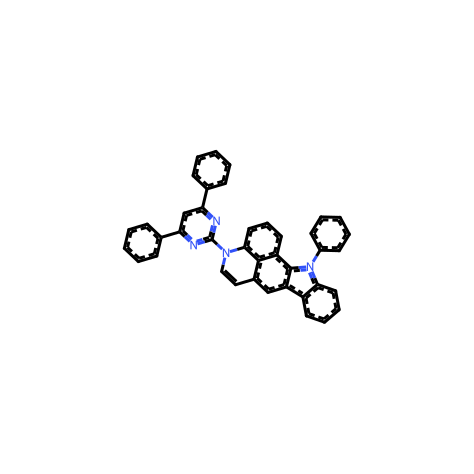 C1=CN(c2nc(-c3ccccc3)cc(-c3ccccc3)n2)c2cccc3c2c1cc1c2ccccc2n(-c2ccccc2)c31